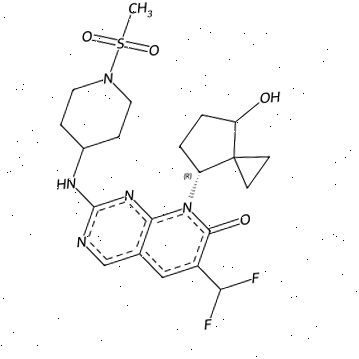 CS(=O)(=O)N1CCC(Nc2ncc3cc(C(F)F)c(=O)n([C@@H]4CCC(O)C45CC5)c3n2)CC1